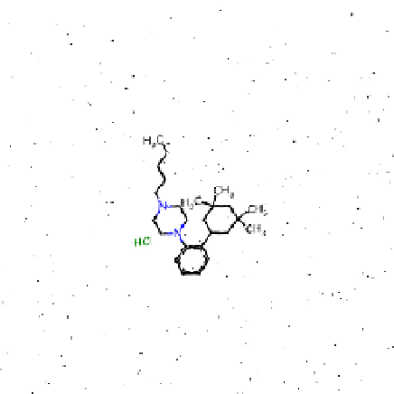 CCCCCN1CCN(c2ccccc2C2CC(C)(C)CC(C)(C)C2)CC1.Cl